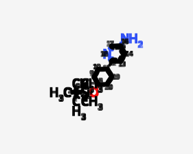 CC(C)(C)[Si](C)(C)O[C@H]1CC[C@H](c2ccc(N)cn2)CC1